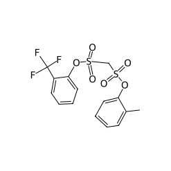 Cc1ccccc1OS(=O)(=O)CS(=O)(=O)Oc1ccccc1C(F)(F)F